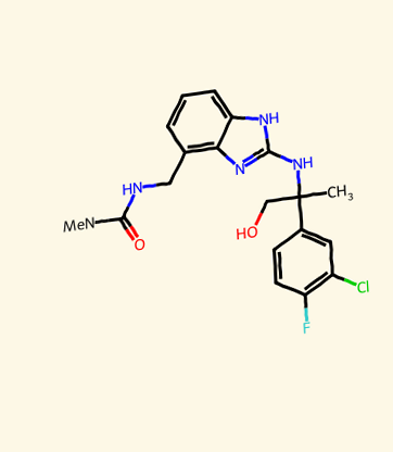 CNC(=O)NCc1cccc2[nH]c(NC(C)(CO)c3ccc(F)c(Cl)c3)nc12